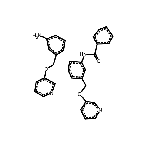 Nc1cccc(COc2cccnc2)c1.O=C(Nc1cccc(COc2cccnc2)c1)c1ccccc1